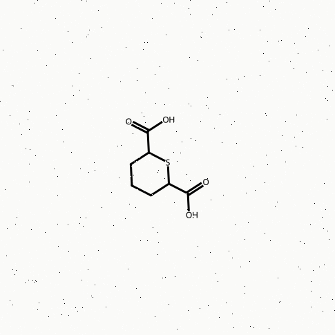 O=C(O)C1CCCC(C(=O)O)S1